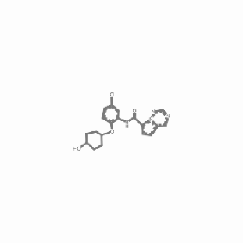 O=C(Nc1cc(Cl)ccc1OC1CCC(O)CC1)c1ccc2cncnn12